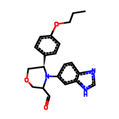 CCCOc1ccc([C@H]2COCC(C=O)N2c2ccc3nc[nH]c3c2)cc1